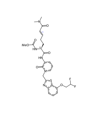 COC(=O)N[C@@H](CC/C=C/C(=O)N(C)C)C(=O)Nc1cccn(Cc2nc3cccc(OCC(F)F)c3s2)c1=O